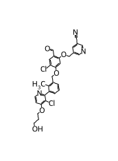 Cc1c(COc2cc(OCc3cncc(C#N)c3)c(C=O)cc2Cl)cccc1-c1nccc(OCCCO)c1Cl